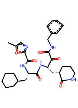 Cc1cnc(C(=O)N[C@@H](CC2CCCCC2)C(=O)N[C@@H](C[C@@H]2CCCNC2=O)C(=O)C(=O)NCc2ccccc2)o1